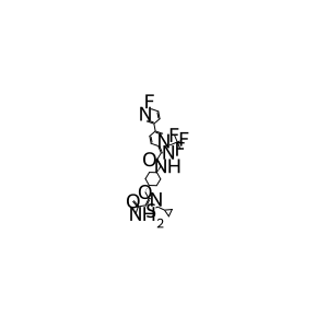 NC(=O)c1sc(C2CC2)nc1O[C@H]1CC[C@H](NC(=O)c2nc(C(F)(F)F)n3cc(-c4ccc(F)nc4)ccc23)CC1